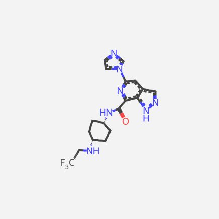 O=C(N[C@H]1CC[C@@H](NCC(F)(F)F)CC1)c1nc(-n2ccnc2)cc2cn[nH]c12